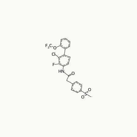 CS(=O)(=O)c1ccc(CC(=O)Nc2ccc(-c3ccccc3OC(F)(F)F)c(Cl)c2F)cc1